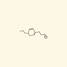 CCCC1C=CC(CCC=O)=CC1